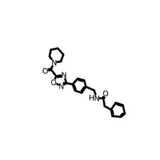 O=C(Cc1ccccc1)NCc1ccc(-c2noc(C(=O)N3CCCCC3)n2)cc1